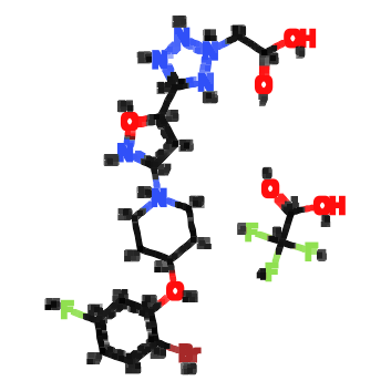 O=C(O)C(F)(F)F.O=C(O)Cn1nnc(-c2cc(N3CCC(Oc4cc(F)ccc4Br)CC3)no2)n1